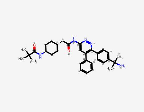 CC(C)(C)C(=O)N[C@H]1CC[C@H](CC(=O)Nc2cc(-c3ccccc3)c(-c3ccc(C(C)(C)N)cc3)nn2)CC1